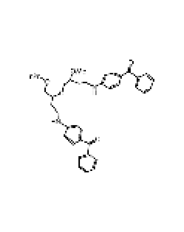 CCCOCC(CCNc1ccc(C(=O)c2ccccc2)cc1)OCC(CCNc1ccc(C(=O)c2ccccc2)cc1)OC